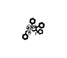 O=C(c1ccccc1)C(CN(S(=O)(=O)Cc1ccccc1)S(=O)(=O)c1ccccc1)C1(F)CCCC1